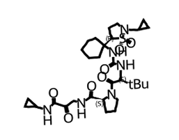 CC(C)(C)[C@H](NC(=O)NC1([C@H]2CCN(C3CC3)S2(=O)=O)CCCCC1)C(=O)N1CCC[C@H]1C(=O)NCC(=O)C(=O)NC1CC1